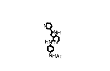 CC(=O)Nc1ccc(Nc2nccc3[nH]c(-c4cccnc4)cc23)cc1